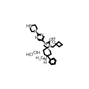 CN[C@]1(c2ccccc2)CC[C@@]2(CC1)CN(c1cnc(N3CCNCC3)nc1)C(=O)N2CC1(O)CCC1.Cl.Cl